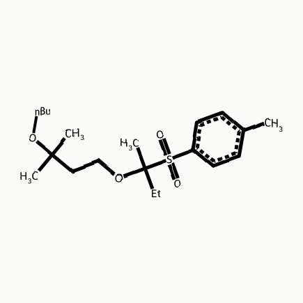 CCCCOC(C)(C)CCOC(C)(CC)S(=O)(=O)c1ccc(C)cc1